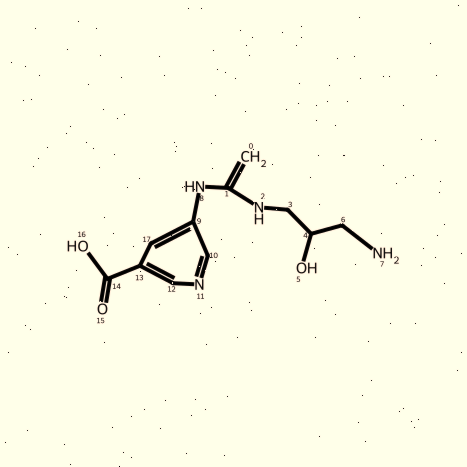 C=C(NCC(O)CN)Nc1cncc(C(=O)O)c1